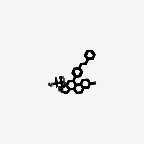 CC(F)(F)C(C)(F)[C@]1(C)CCC2C3CCC4=CC(=O)CCC4=C3C(c3ccc(CCc4ccccc4)cc3)CC21C